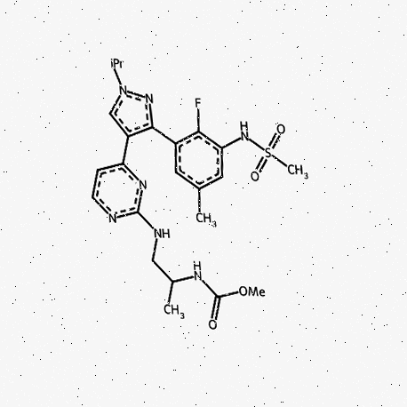 COC(=O)NC(C)CNc1nccc(-c2cn(C(C)C)nc2-c2cc(C)cc(NS(C)(=O)=O)c2F)n1